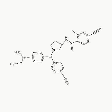 CCN(C)c1ccc([C@@H](c2ccc(C#N)cc2)N2CCC(NC(=O)c3ccc(C#N)cc3F)C2)cc1